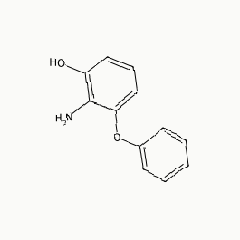 Nc1c(O)cccc1Oc1ccccc1